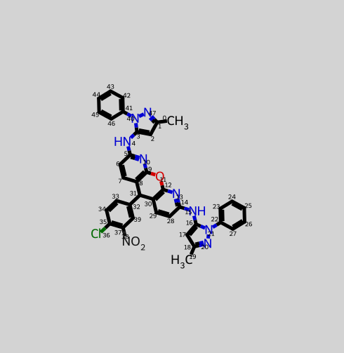 Cc1cc(Nc2ccc3c(n2)Oc2nc(Nc4cc(C)nn4-c4ccccc4)ccc2C3c2ccc(Cl)c([N+](=O)[O-])c2)n(-c2ccccc2)n1